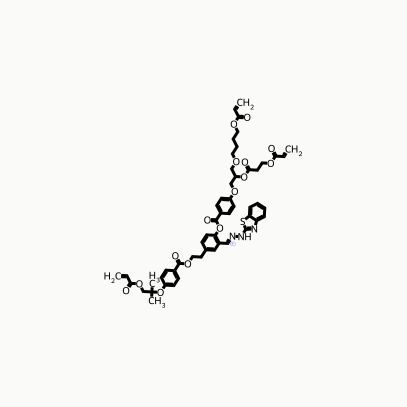 C=CC(=O)OCCCCOCC(COc1ccc(C(=O)Oc2ccc(CCOC(=O)c3ccc(OC(C)(C)COC(=O)C=C)cc3)cc2/C=N/Nc2nc3ccccc3s2)cc1)OC(=O)CCOC(=O)C=C